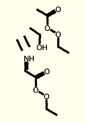 CC.CC.CCO.CCOOC(=O)C=N.CCOOC(C)=O